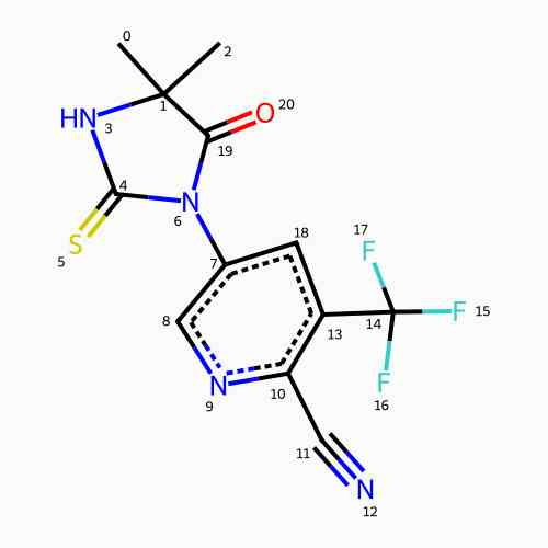 CC1(C)NC(=S)N(c2cnc(C#N)c(C(F)(F)F)c2)C1=O